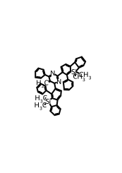 C=C1C(c2ccccc2)=NC(c2ccc3c(c2-c2ccccc2)[Si](C)(C)c2ccccc2-3)=NC1c1ccc2c(c1-c1ccccc1)[Si](C)(C)c1ccccc1-2